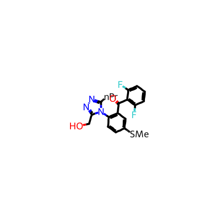 CCCc1nnc(CO)n1-c1ccc(SC)cc1C(=O)c1c(F)cccc1F